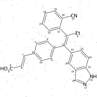 CC/C(=C(/c1ccc(/C=C/C(=O)O)cc1)c1ccc2[nH]ncc2c1)c1ccccc1C#N